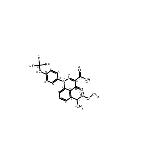 CONC(C)c1cccc2c1c(=O)c(C(=O)O)nn2-c1ccc(OC(F)(F)F)cc1